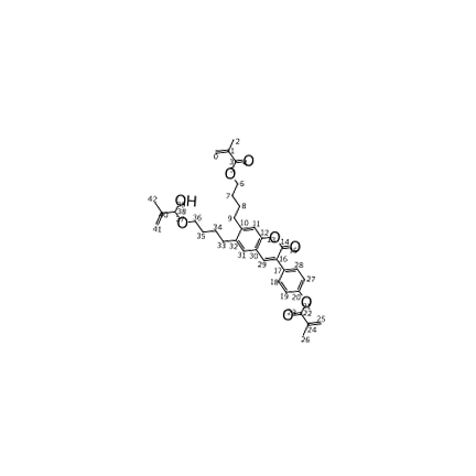 C=C(C)C(=O)OCCCCc1cc2oc(=O)c(-c3ccc(OC(=O)C(=C)C)cc3)cc2cc1CCCCOC(O)C(=C)C